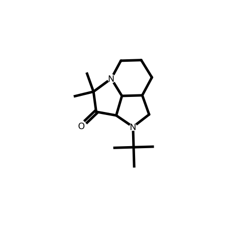 CC(C)(C)N1CC2CCCN3C2C1C(=O)C3(C)C